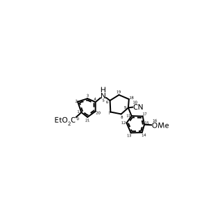 CCOC(=O)c1ccc(NC2CCC(C#N)(c3cccc(OC)c3)CC2)cc1